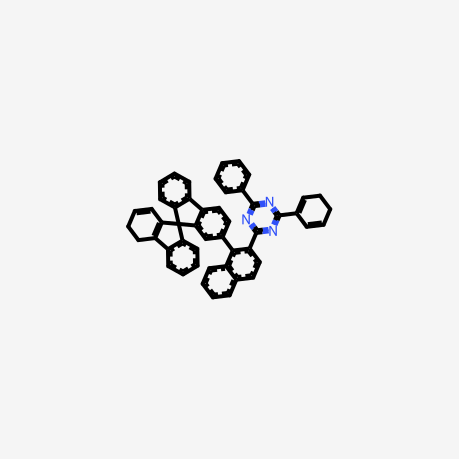 C1=CC(c2nc(-c3ccccc3)nc(-c3ccc4ccccc4c3-c3ccc4c(c3)C3(C5=C(CCC=C5)c5ccccc53)c3ccccc3-4)n2)=CCC1